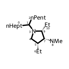 CCCCCCCC(CCCCC)N1C[C@@H](CC)[C@@H](NC)[C@H]1CC